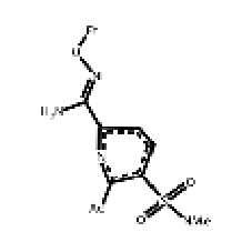 CCO/N=C(\N)c1ccc(S(=O)(=O)NC)c(C(C)=O)n1